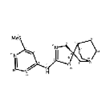 CSc1cc(NC2=NC[C@@]3(CN4CCC3CC4)O2)ncn1